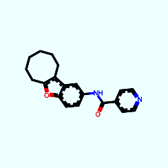 O=C(Nc1ccc2oc3c(c2c1)CCCCCC3)c1ccncc1